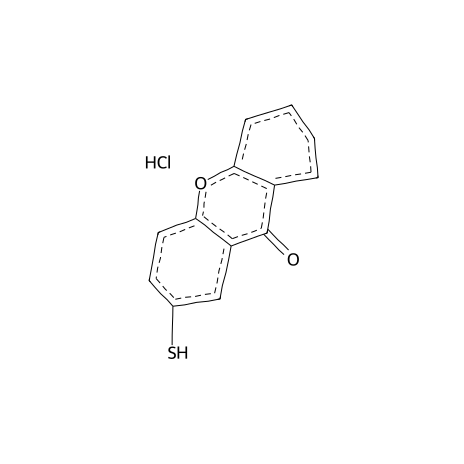 Cl.O=c1c2ccccc2oc2ccc(S)cc12